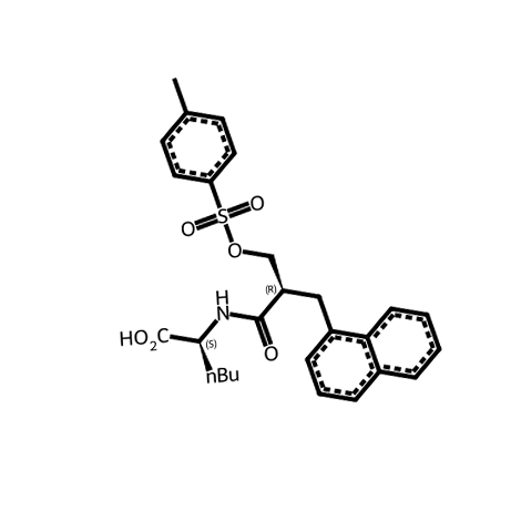 CCCC[C@H](NC(=O)[C@@H](COS(=O)(=O)c1ccc(C)cc1)Cc1cccc2ccccc12)C(=O)O